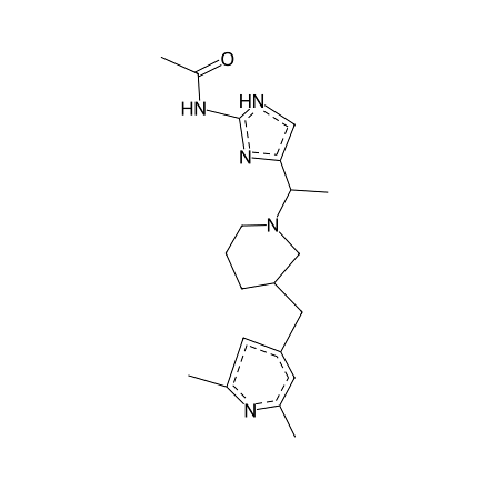 CC(=O)Nc1nc(C(C)N2CCCC(Cc3cc(C)nc(C)c3)C2)c[nH]1